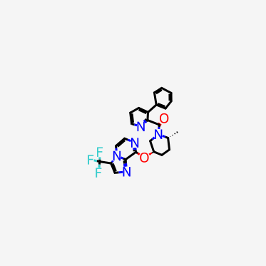 C[C@@H]1CC[C@@H](Oc2nccn3c(C(F)(F)F)cnc23)CN1C(=O)c1ncccc1-c1ccccc1